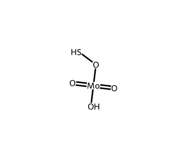 [O]=[Mo](=[O])([OH])[O]S